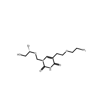 CC[C@@H](CO)OCn1cc(CCOCCN)c(=O)[nH]c1=O